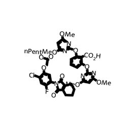 CCCCCOC(=O)COc1cc(N2C(=O)C3=C(CCCC3)C2=O)c(F)cc1Cl.COc1cc(OC)nc(Oc2cccc(Oc3nc(OC)cc(OC)n3)c2C(=O)O)n1